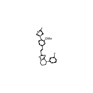 COc1cc(/C=C/c2nc3n(n2)CCC[C@@H]3c2cccc(F)c2)ccc1-n1cnc(C)c1